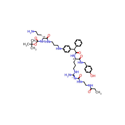 CCC(=O)NCCNC(=O)/N=C(/N)NCCC[C@@H](NC(=O)C(c1ccccc1)c1ccc(NCCCNC(=O)[C@@H](CCCN)NC(=O)OC(C)(C)C)cc1)C(=O)NCc1ccc(O)cc1